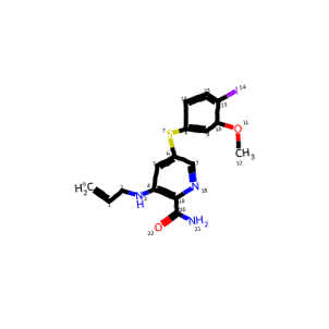 C=CCNc1cc(SC2=CC(OC)C(I)=C=C2)cnc1C(N)=O